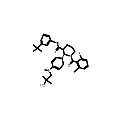 Cc1cccc(F)c1C(=O)N1CCCC(C(=O)Nc2cccc(C(C)(C)C)c2)C1[C@@H]1C=CC(N(C)CC(C)(C)O)=CC1